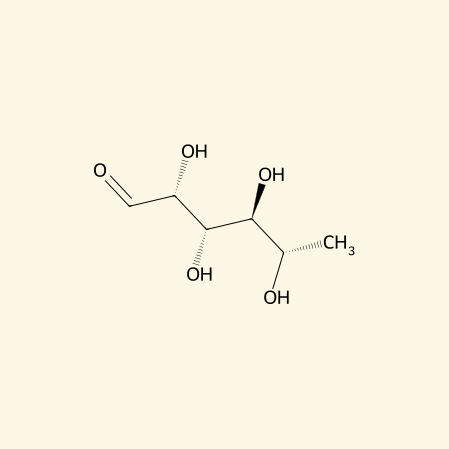 C[C@H](O)[C@H](O)[C@H](O)[C@@H](O)C=O